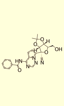 CC1(C)O[C@H]2[C@@H](O1)[C@](C#N)(c1ccc3c(NC(=O)c4ccccc4)ncnn13)O[C@@H]2CO